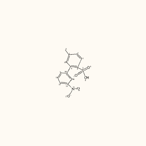 Cc1ccc(S(=O)(=O)O)c(-c2cccc([N+](=O)[O-])c2)c1